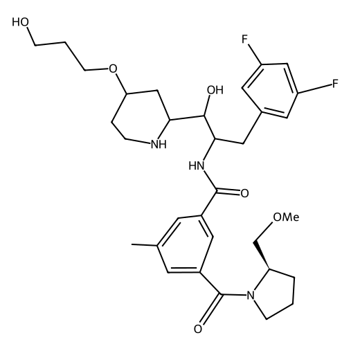 COC[C@H]1CCCN1C(=O)c1cc(C)cc(C(=O)NC(Cc2cc(F)cc(F)c2)C(O)C2CC(OCCCO)CCN2)c1